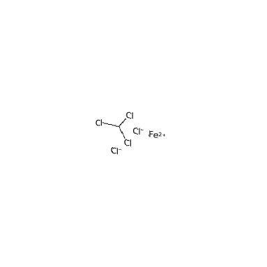 ClC(Cl)Cl.[Cl-].[Cl-].[Fe+2]